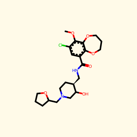 COc1c(Cl)cc(C(=O)NC[C@@H]2CCN(CC3CCCO3)CC2O)c2c1OCCCO2